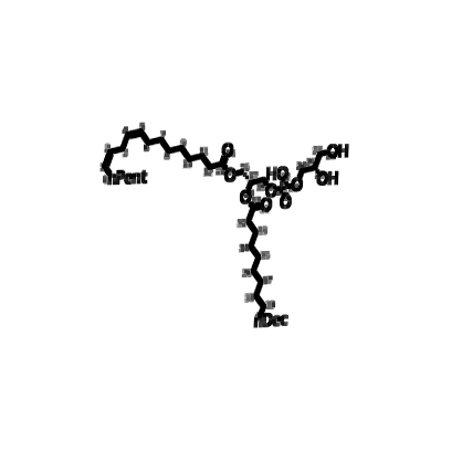 CCCCC/C=C\C/C=C\CCCCCCCC(=O)OC[C@H](COP(=O)(O)OC[C@@H](O)CO)OC(=O)CCCCCCCCCCCCCCCCCC